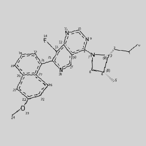 CCC[C@@H]1[C@H](C)CN1c1ncnc2c(F)c(-c3cccc4cc(OC)ccc34)ncc12